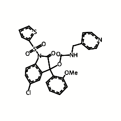 COc1ccccc1C1(OC(=O)NCc2ccncc2)C(=O)N(S(=O)(=O)c2cccs2)c2ccc(Cl)cc21